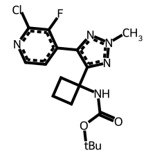 Cn1nc(-c2ccnc(Cl)c2F)c(C2(NC(=O)OC(C)(C)C)CCC2)n1